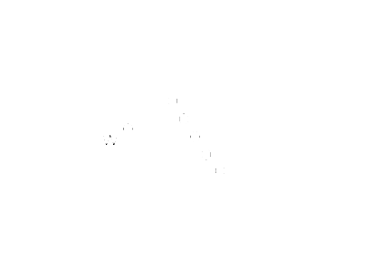 C=O.C=O.C=O.C=O.C=O.C[C]OC.[W]